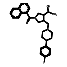 CC(O)C1CN(C(=O)c2cccc3ccccc23)CC1CN1CCC(c2ccc(F)cc2)CC1